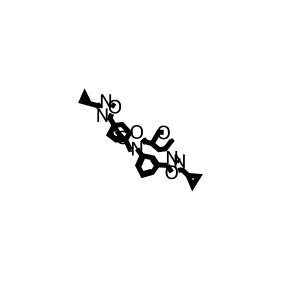 O=C(C1CCCOC1)N(CC12CCC(c3nc(C4CC4)no3)(CC1)CC2)c1cccc(-c2nnc(C3CC3)o2)c1